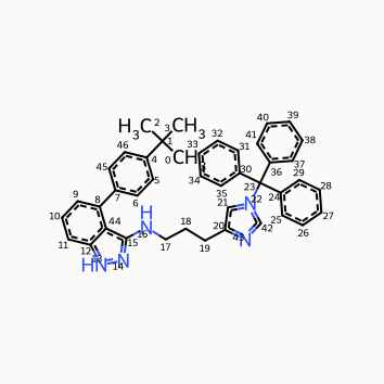 CC(C)(C)c1ccc(-c2cccc3[nH]nc(NCCCc4cn(C(c5ccccc5)(c5ccccc5)c5ccccc5)cn4)c23)cc1